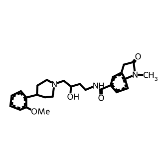 COc1ccccc1C1CCN(CC(O)CCNC(=O)c2ccc3c(c2)CC(=O)N3C)CC1